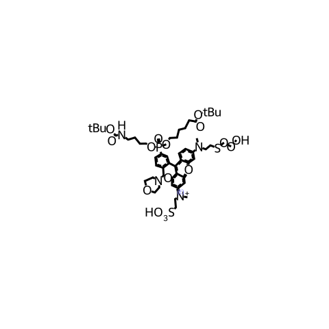 CN(CCSOOO)c1ccc2c(-c3cc(P(=O)(OCCCCCC(=O)OC(C)(C)C)OCCCCNC(=O)OC(C)(C)C)ccc3C(=O)N3CCOCC3)c3cc/c(=[N+](/C)CCS(=O)(=O)O)cc-3oc2c1